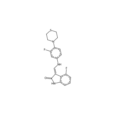 O=C1Nc2cccc(F)c2/C1=C\Nc1ccc(N2CCSCC2)c(F)c1